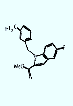 COC(=O)c1cc2cc(F)ccc2n1Cc1cccc(C)c1